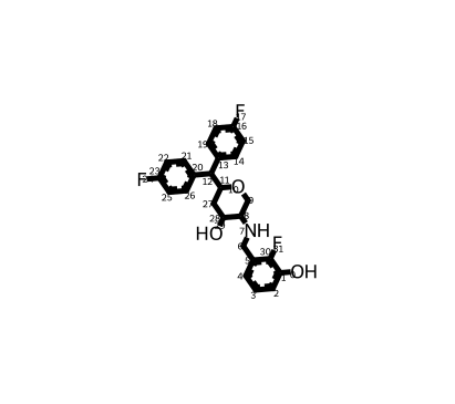 Oc1cccc(CNC2COC(C(c3ccc(F)cc3)c3ccc(F)cc3)CC2O)c1F